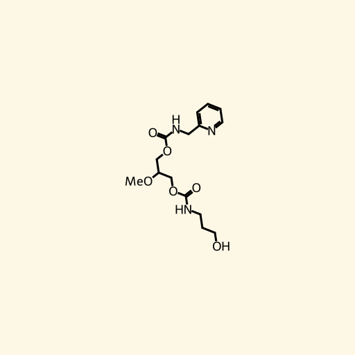 COC(COC(=O)NCCCO)COC(=O)NCc1ccccn1